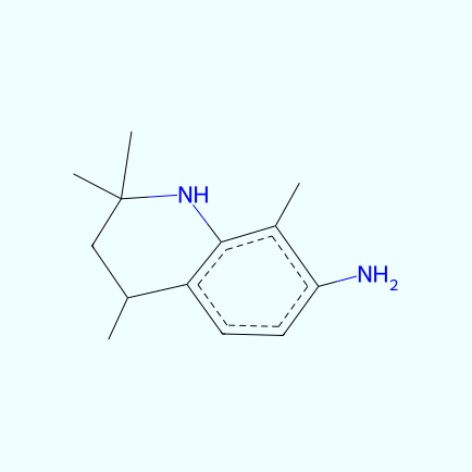 Cc1c(N)ccc2c1NC(C)(C)CC2C